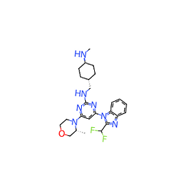 CN[C@H]1CC[C@H](CNc2nc(N3CCOC[C@H]3C)cc(-n3c(C(F)F)nc4ccccc43)n2)CC1